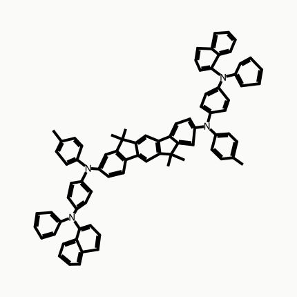 Cc1ccc(N(c2ccc(N(c3ccccc3)c3cccc4ccccc34)cc2)c2ccc3c(c2)C(C)(C)c2cc4c(cc2-3)C(C)(C)c2cc(N(c3ccc(C)cc3)c3ccc(N(c5ccccc5)c5cccc6ccccc56)cc3)ccc2-4)cc1